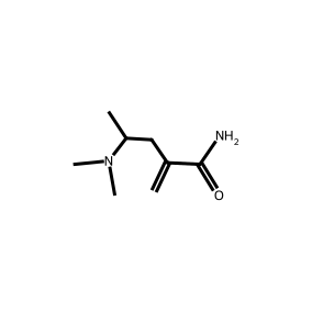 C=C(CC(C)N(C)C)C(N)=O